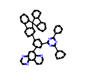 c1ccc(-c2nc(-c3ccccc3)nc(-c3cc(-c4ccc5c(c4)C4(c6ccccc6-c6ccccc64)c4ccccc4-5)cc(-c4cc5nccnc5c5cccnc45)c3)n2)cc1